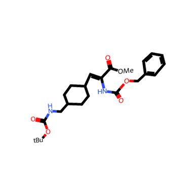 COC(=O)C(=CC1CCC(CNC(=O)OC(C)(C)C)CC1)NC(=O)OCc1ccccc1